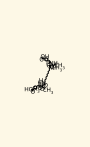 CCC(C)[C@H](NC(=O)Cc1ccc(C(=O)O)cc1)C(=O)NCCCCCCCCCCNC(=O)[C@@H](NC(=O)Cc1ccc(C(=O)O)cc1)C(C)CC